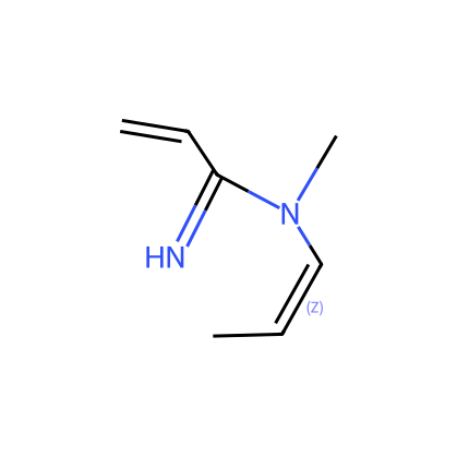 C=CC(=N)N(C)/C=C\C